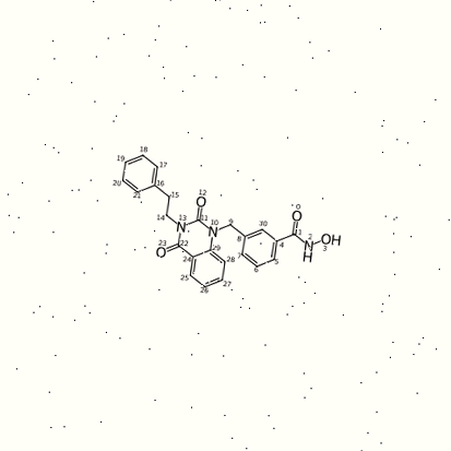 O=C(NO)c1cccc(Cn2c(=O)n(CCc3ccccc3)c(=O)c3ccccc32)c1